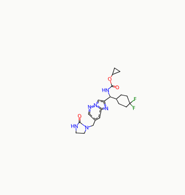 O=C(NC(c1cn2ncc(CN3CCNC3=O)cc2n1)C1CCC(F)(F)CC1)OC1CC1